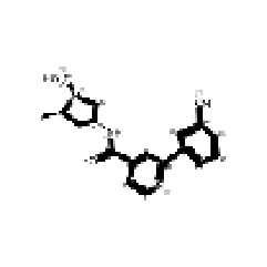 C[C@@H]1C[C@@H](NC(=O)c2ccnc(-c3cccc(C#N)c3)c2)CN1C(=O)O